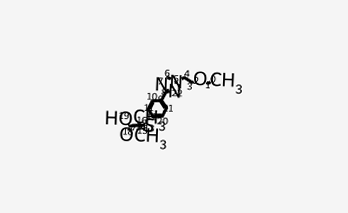 CCOCCn1cnc(-c2ccc(SC(C)(C)C(=O)O)cc2)n1